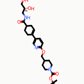 CC(C)(C)OC(=O)N1CCC(COc2ccc(C3=CCC(C(=O)NC[C@@H](O)CO)CC3)cn2)CC1